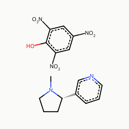 CN1CCC[C@H]1c1cccnc1.O=[N+]([O-])c1cc([N+](=O)[O-])c(O)c([N+](=O)[O-])c1